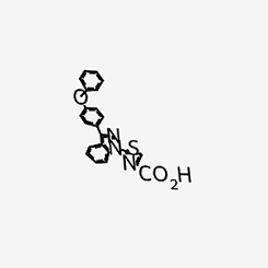 O=C(O)c1csc(-n2nc(-c3ccc(Oc4ccccc4)cc3)c3ccccc32)n1